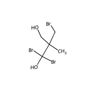 CC(CO)(CBr)C(O)(Br)Br